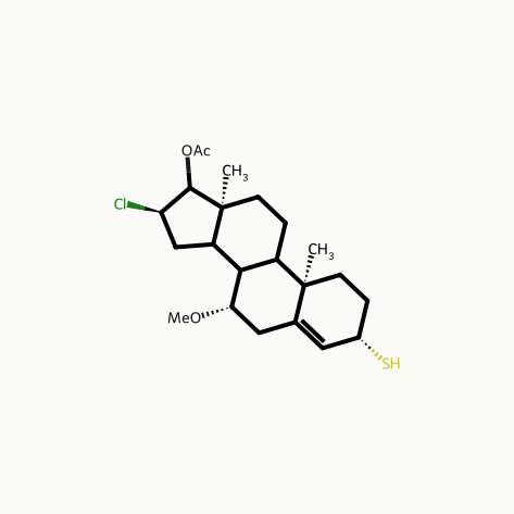 CO[C@H]1CC2=C[C@@H](S)CC[C@]2(C)C2CC[C@@]3(C)C(C[C@@H](Cl)C3OC(C)=O)C21